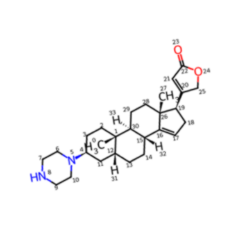 C[C@]12CC[C@H](N3CCNCC3)C[C@H]1CC[C@H]1C3=CC[C@H](C4=CC(=O)OC4)[C@@]3(C)CC[C@@H]12